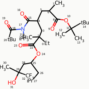 CCC(C)(CC(CC(C)C(=O)OC(C)(C)C(C)(C)C)C(=O)N(C(=O)C(C)(C)C)C(C)C)C(=O)OC(CC(C)C)CC(C)(O)C(F)(F)F